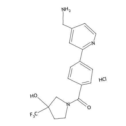 Cl.NCc1ccnc(-c2ccc(C(=O)N3CCC(O)(C(F)(F)F)C3)cc2)c1